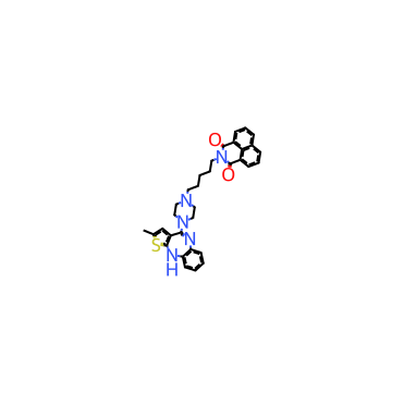 Cc1cc2c(s1)Nc1ccccc1N=C2N1CCN(CCCCCN2C(=O)c3cccc4cccc(c34)C2=O)CC1